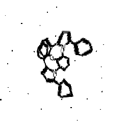 [O]c1c(-n2c(-c3ccccc3)ccc2-c2ccccc2)cccc1-n1c(-c2ccccc2)ccc1-c1ccccc1